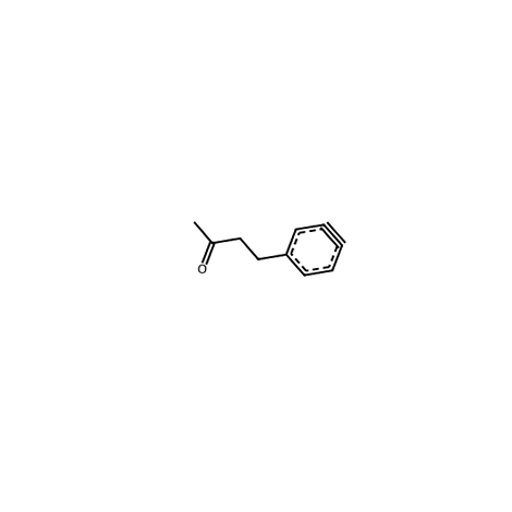 CC(=O)CCc1cc#ccc1